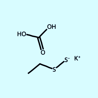 CCS[S-].O=C(O)O.[K+]